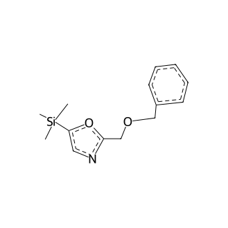 C[Si](C)(C)c1cnc(COCc2ccccc2)o1